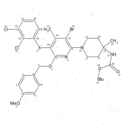 COc1ccc(COc2nc(N3CCC(C)(NC(=O)OC(C)(C)C)CC3)c(Br)c(C)c2Sc2cccc(Cl)c2Cl)cc1